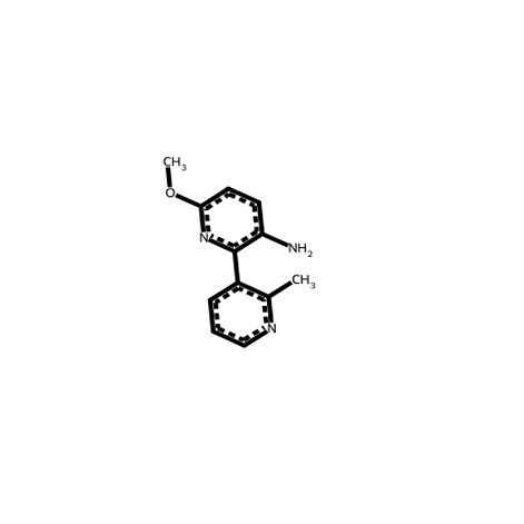 COc1ccc(N)c(-c2cccnc2C)n1